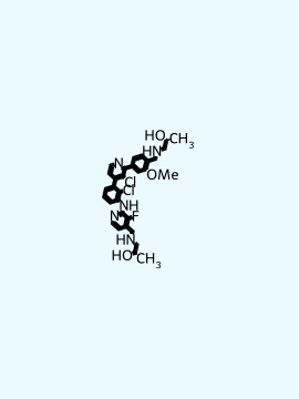 COc1cc(-c2nccc(-c3cccc(Nc4nccc(CNC[C@@H](C)O)c4F)c3Cl)c2Cl)ccc1CNC[C@@H](C)O